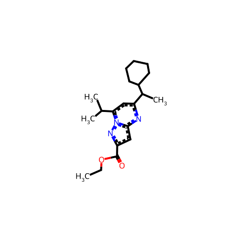 CCOC(=O)c1cc2nc(C(C)C3CCCCC3)cc(C(C)C)n2n1